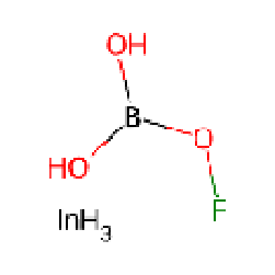 OB(O)OF.[InH3]